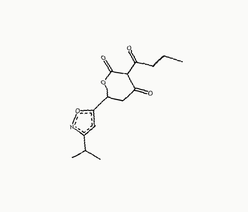 CCCC(=O)C1C(=O)CC(c2cc(C(C)C)no2)OC1=O